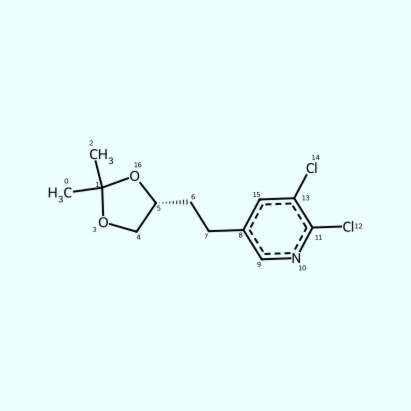 CC1(C)OC[C@@H](CCc2cnc(Cl)c(Cl)c2)O1